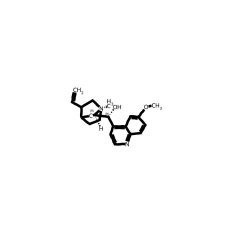 C=CC1C[N+]2(C)CCC1C[C@@H]2[C@H](O)c1ccnc2ccc(OC)cc12